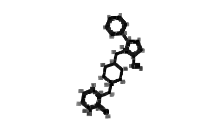 Cc1ccc(-c2ccccc2)n1CC1CCN(Cc2ncc[nH]c2=O)CC1